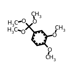 COc1ccc(C(OC)(OC)OC)cc1OC